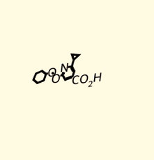 O=C(O)c1cc(OOC2CCCCC2)nc(C2CC2)c1